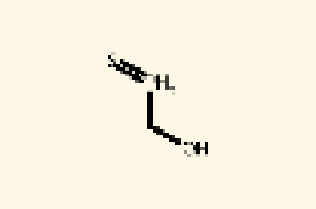 OC[PH2]=S